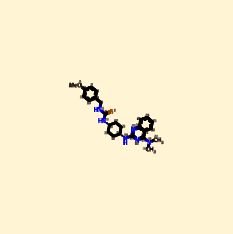 COc1ccc(CNC(=S)N[C@H]2CC[C@@H](Nc3nc(N(C)C)c4ccccc4n3)CC2)cc1